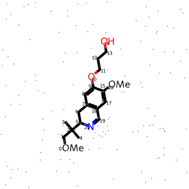 COCC(C)(C)C1Cc2cc(OCCCO)c(OC)cc2C=N1